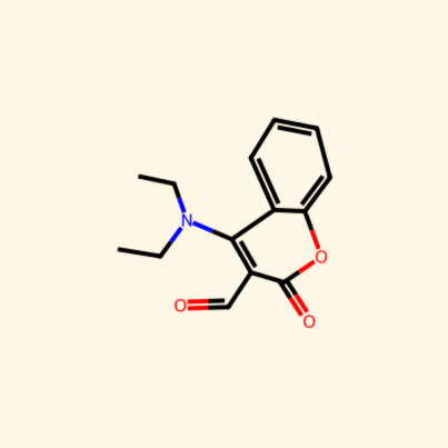 CCN(CC)c1c(C=O)c(=O)oc2ccccc12